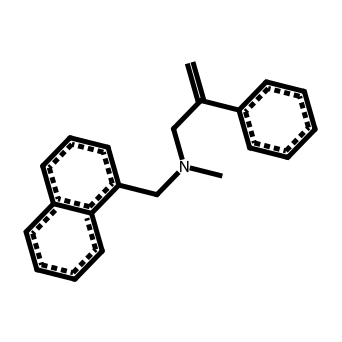 C=C(CN(C)Cc1cccc2ccccc12)c1ccccc1